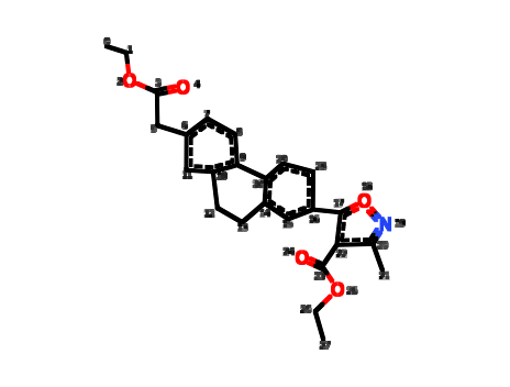 CCOC(=O)Cc1ccc2c(c1)CCc1cc(-c3onc(C)c3C(=O)OCC)ccc1-2